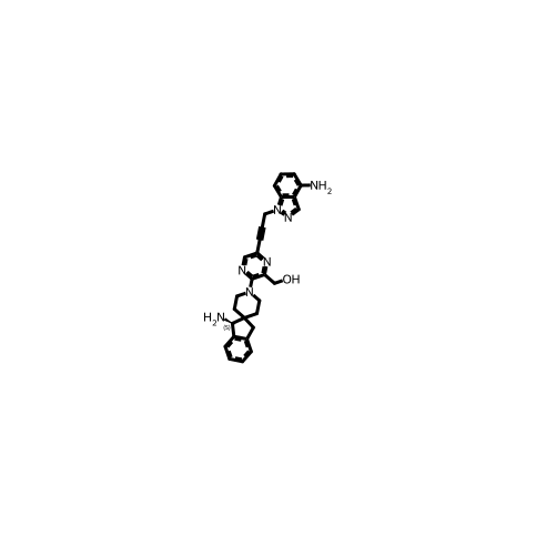 Nc1cccc2c1cnn2CC#Cc1cnc(N2CCC3(CC2)Cc2ccccc2[C@H]3N)c(CO)n1